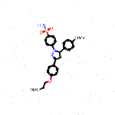 COCCOc1ccc(C2=NN(c3ccc(S(N)(=O)=O)cc3)C(c3ccc(OC)cc3)C2)cc1